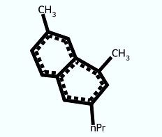 CCCc1cc(C)c2cc(C)ccc2c1